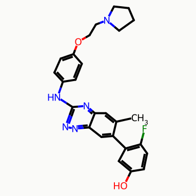 Cc1cc2nc(Nc3ccc(OCCN4CCCC4)cc3)nnc2cc1-c1cc(O)ccc1F